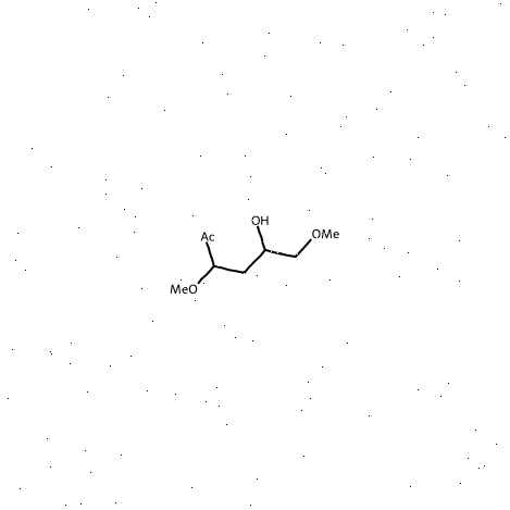 COCC(O)CC(OC)C(C)=O